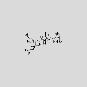 C/C(=C\SC(=N)c1nncn1C1CC1)NC(=O)c1cc(-n2cnc(C3CC3)c2)c(N2CC(C(F)F)C2)cn1